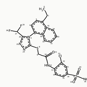 CCc1ccc(-n2c(SCC(=O)Nc3ccc(S(N)(=O)=O)cc3Cl)nnc2C(F)F)c2ccccc12